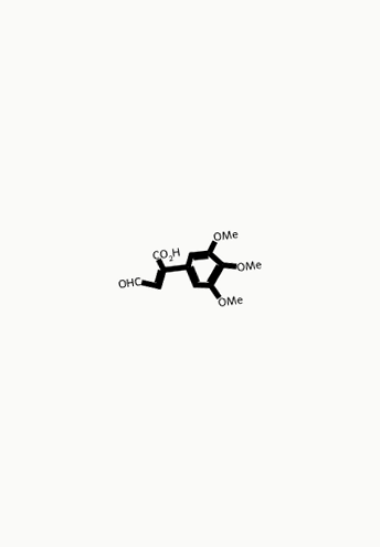 COc1cc(C(=CC=O)C(=O)O)cc(OC)c1OC